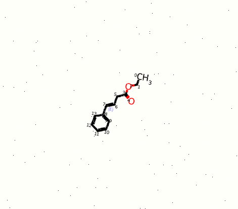 CCOC(=O)[CH]/C=C/c1ccccc1